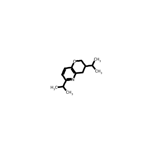 CC(C)c1ccc2c(n1)CC(C(C)C)CO2